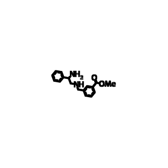 COC(=O)c1cccc(CNCC(N)c2ccccc2)c1